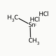 Cl.Cl.[CH3][Sn][CH3]